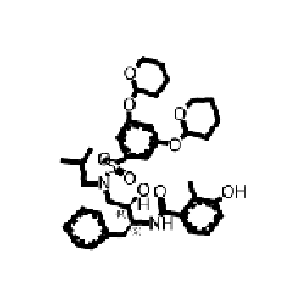 Cc1c(O)cccc1C(=O)N[C@@H](Cc1ccccc1)[C@H](O)CN(CC(C)C)S(=O)(=O)c1cc(OC2CCCCO2)cc(OC2CCCCO2)c1